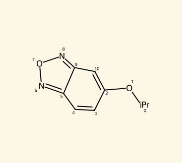 CC(C)Oc1ccc2nonc2c1